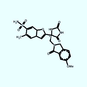 COc1ccc2c(c1)C(=O)N(C[C@@]1(C3=CC4C=C(C)C(S(N)(=O)=O)=CC4O3)NC(=O)NC1=O)C2